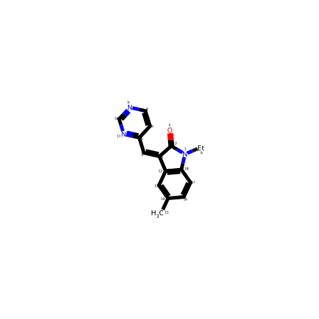 CCN1C(=O)C(=Cc2ccncn2)c2cc(C)ccc21